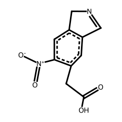 O=C(O)Cc1cc2c(cc1[N+](=O)[O-])CN=C2